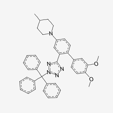 COc1ccc(-c2ccc(N3CCC(C)CC3)cc2-c2nnn(C(c3ccccc3)(c3ccccc3)c3ccccc3)n2)cc1OC